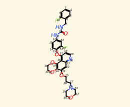 O=C(NCc1ccccc1F)Nc1ccc(Oc2ccnc3cc(OCCCN4CCOCC4)c4c(c23)OCCO4)c(F)c1